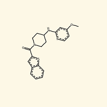 COc1ccnc(NC2CCN(C(=O)c3cc4ccccc4s3)CC2)c1